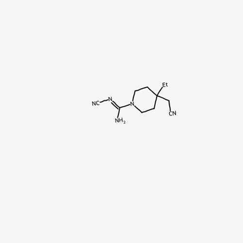 CCC1(CC#N)CCN(/C(N)=N/C#N)CC1